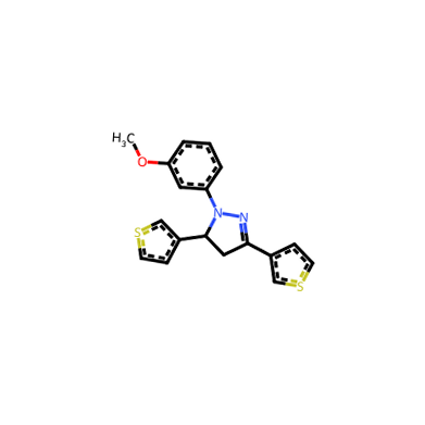 COc1cccc(N2N=C(c3ccsc3)CC2c2ccsc2)c1